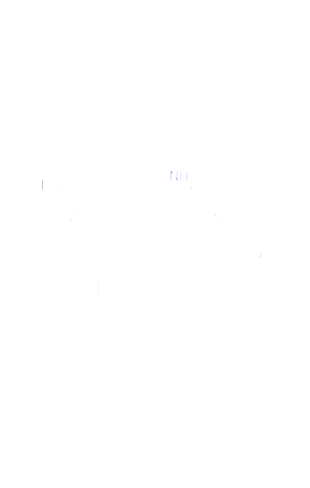 COc1cc(N)c(C(=O)c2ccccc2Cl)cc1F